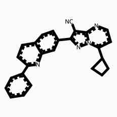 N#Cc1c(-c2ccc3ccc(-c4ccccc4)nc3c2)nn2c(C3CCC3)ccnc12